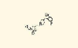 O=C1SC(CCN2CCC(Cc3cc(F)ccc3Br)CC2)CN1CC1CC1